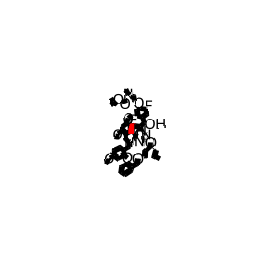 CCC[C@H](CCOCc1ccccc1)Oc1nc(N(Cc2ccc(OC)cc2OC)Cc2ccc(OC)cc2OC)c2ncc(C(O)c3cc(F)c(OCCN(C)C(=O)OC(C)(C)C)cc3F)n2n1